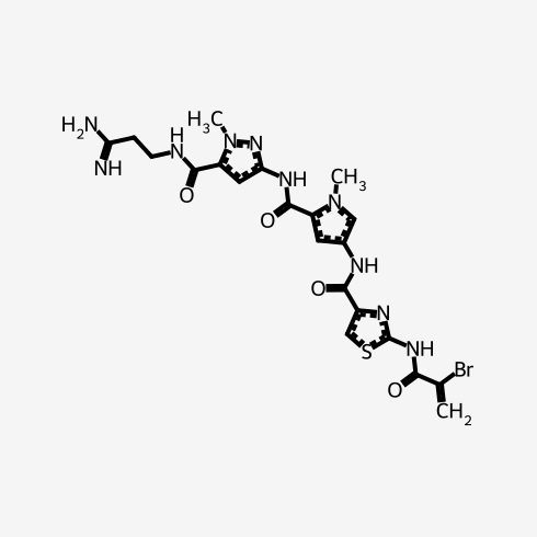 C=C(Br)C(=O)Nc1nc(C(=O)Nc2cc(C(=O)Nc3cc(C(=O)NCCC(=N)N)n(C)n3)n(C)c2)cs1